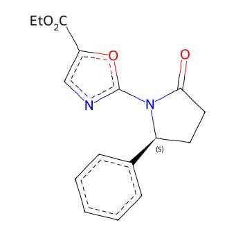 CCOC(=O)c1cnc(N2C(=O)CC[C@H]2c2ccccc2)o1